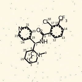 CN1CC2CCC1([C@H](NC(=O)c1cccc(C(F)(F)F)c1Cl)c1ccncc1)CC2